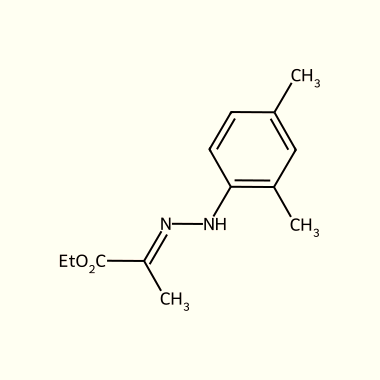 CCOC(=O)C(C)=NNc1ccc(C)cc1C